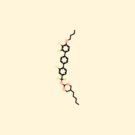 CCCCCC1COC(OC(F)(F)c2ccc(-c3ccc(-c4ccc(OCCCC)c(F)c4F)cc3)c(F)c2)OC1